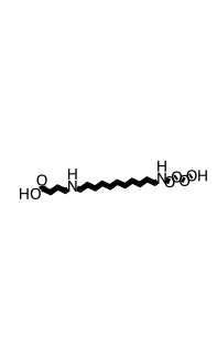 O=C(O)CCCNCCCCCCCCCCCNOOOO